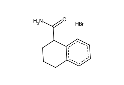 Br.NC(=O)C1CCCc2ccccc21